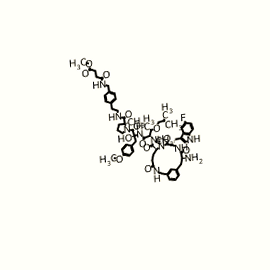 COC(=O)CCC(=O)NCc1ccc(CCNC(=O)[C@]2(C)CCCN2C(=O)[C@@](O)(Cc2ccc(OC)cc2)NC(=O)[C@@H](NC(=O)[C@@H]2CCC(=O)NCc3cccc(c3)C[C@H](N)C(=O)N[C@@H](Cc3c[nH]c4ccc(F)cc34)C(=O)N2C)[C@@H](C)OCC(C)C)cc1